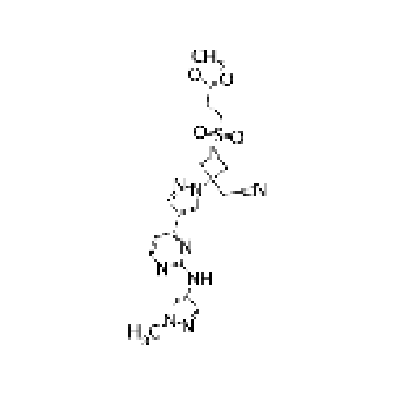 COC(=O)CCS(=O)(=O)N1CC(CC#N)(n2cc(-c3ccnc(Nc4cnn(C)c4)n3)cn2)C1